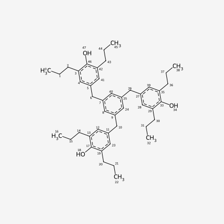 CCCc1cc(Cc2cc(Cc3cc(CCC)c(O)c(CCC)c3)cc(Cc3cc(CCC)c(O)c(CCC)c3)c2)cc(CCC)c1O